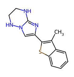 Cc1c(-c2cn3c(n2)NCCN3)sc2ccccc12